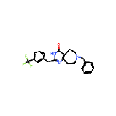 O=c1[nH]c(Cc2cccc(C(F)(F)F)c2)nc2c1CCN(Cc1ccccc1)CC2